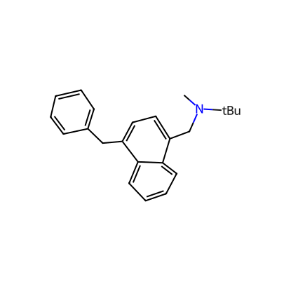 CN(Cc1ccc(Cc2ccccc2)c2ccccc12)C(C)(C)C